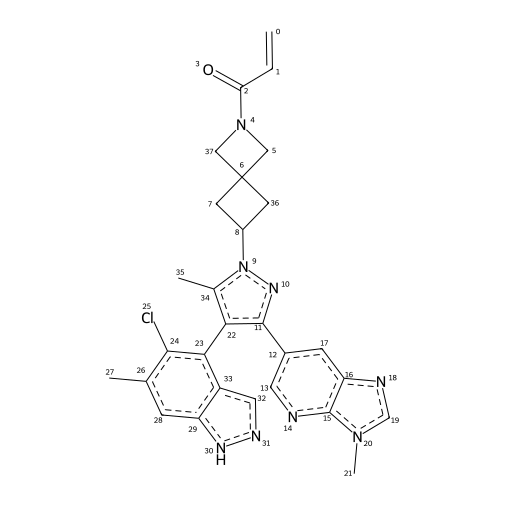 C=CC(=O)N1CC2(CC(n3nc(-c4cnc5c(c4)ncn5C)c(-c4c(Cl)c(C)cc5[nH]ncc45)c3C)C2)C1